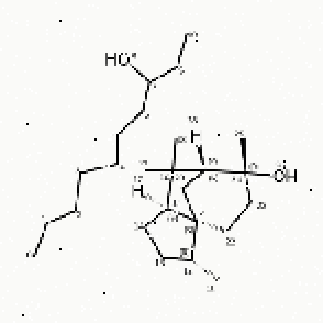 CCCCCCCC(O)CC.C[C@@H]1CC[C@H]2C(C)(C)[C@H]3C[C@@]12CC[C@@]3(C)O